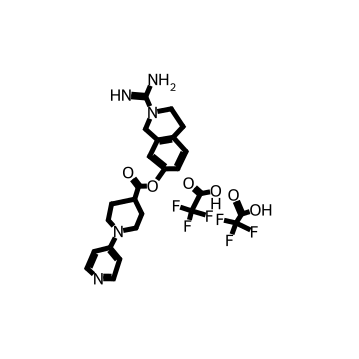 N=C(N)N1CCc2ccc(OC(=O)C3CCN(c4ccncc4)CC3)cc2C1.O=C(O)C(F)(F)F.O=C(O)C(F)(F)F